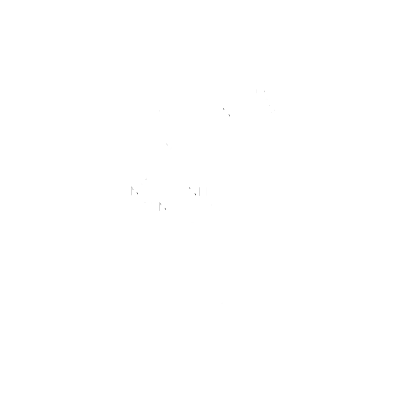 CS(=O)(=O)CCNCc1coc(-c2ccc3ncnc(Nc4ccc(OCc5ccc(F)cc5)cc4)c3c2)c1